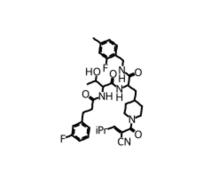 Cc1ccc(CNC(=O)C(CC2CCN(C(=O)C(C#N)=CC(C)C)CC2)NC(=O)C(NC(=O)CCc2cccc(F)c2)C(C)O)c(F)c1